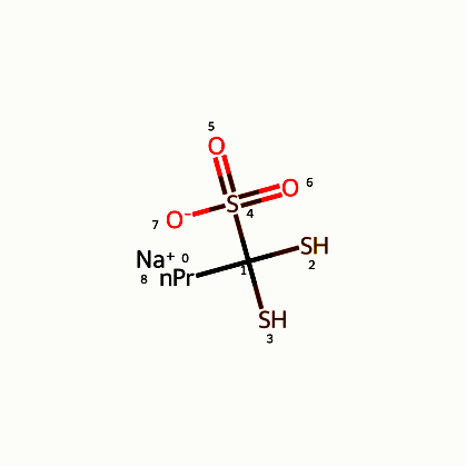 CCCC(S)(S)S(=O)(=O)[O-].[Na+]